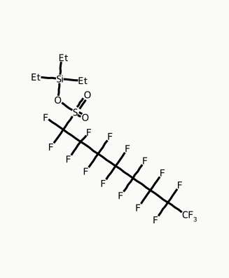 CC[Si](CC)(CC)OS(=O)(=O)C(F)(F)C(F)(F)C(F)(F)C(F)(F)C(F)(F)C(F)(F)C(F)(F)C(F)(F)F